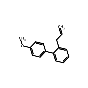 C=CCc1ccccc1-c1ccc(OC)cc1